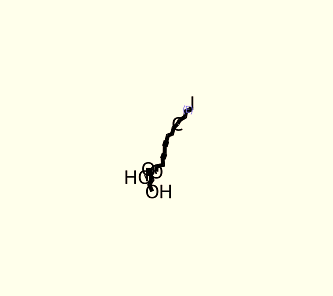 O=P(O)(CCO)OCCC#CC#CCCCCCC/C=C/I